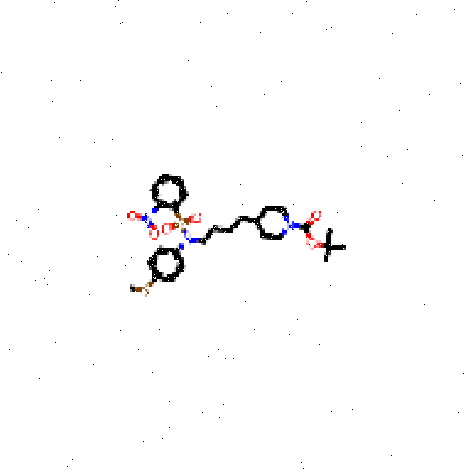 CSc1ccc(N(CCCCC2CCN(C(=O)OC(C)(C)C)CC2)S(=O)(=O)c2ccccc2[N+](=O)[O-])cc1